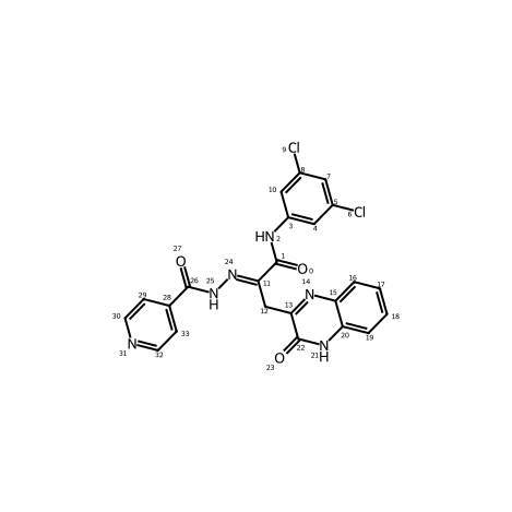 O=C(Nc1cc(Cl)cc(Cl)c1)/C(Cc1nc2ccccc2[nH]c1=O)=N/NC(=O)c1ccncc1